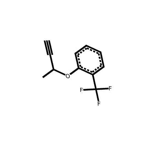 C#CC(C)Oc1ccccc1C(F)(F)F